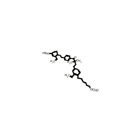 C=Cc1cc(CCC(C)(C)C(=O)c2ccc(CCc3ccc(CCCCCCCCC)cc3C=C)cc2)ccc1CCCCCCOC=O